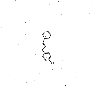 Clc1ccc(C/C=C/c2ccccc2)cc1